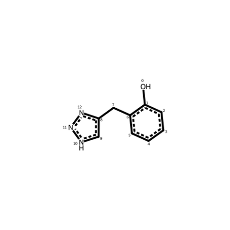 Oc1ccccc1Cc1c[nH]nn1